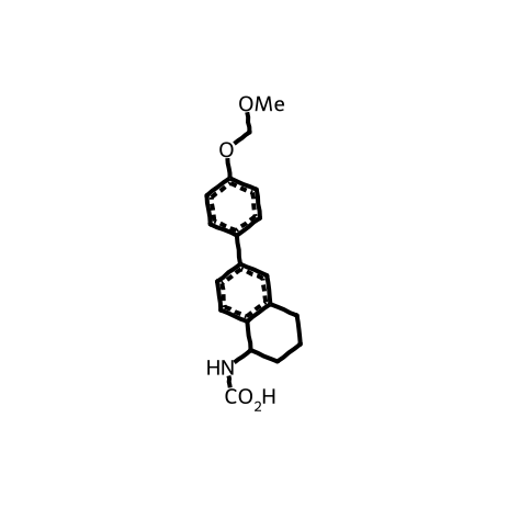 COCOc1ccc(-c2ccc3c(c2)CCCC3NC(=O)O)cc1